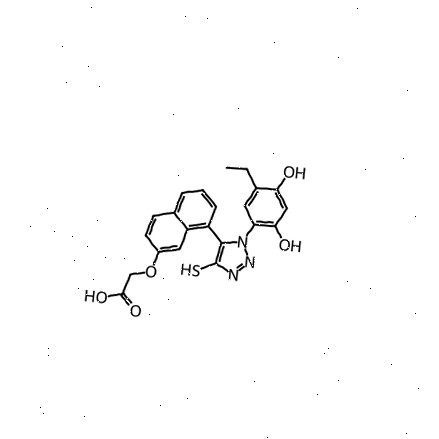 CCc1cc(-n2nnc(S)c2-c2cccc3ccc(OCC(=O)O)cc23)c(O)cc1O